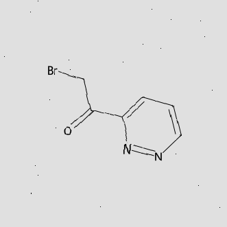 O=C(CBr)c1cccnn1